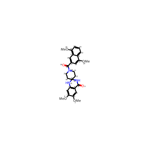 COc1cc2c(cc1OC)C(=O)NC1(CCN(C(=O)c3cc(OC)c4cccc(OC)c4c3)CC1)N2